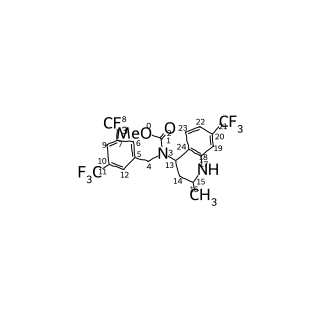 COC(=O)N(Cc1cc(C(F)(F)F)cc(C(F)(F)F)c1)C1CC(C)Nc2cc(C(F)(F)F)ccc21